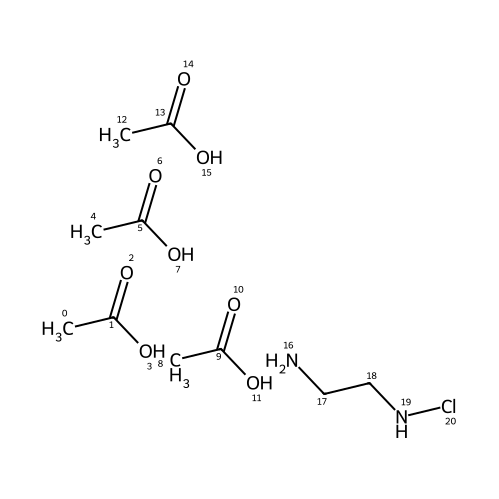 CC(=O)O.CC(=O)O.CC(=O)O.CC(=O)O.NCCNCl